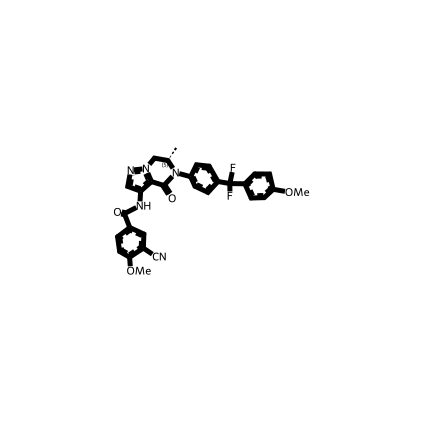 COc1ccc(C(F)(F)c2ccc(N3C(=O)c4c(NC(=O)c5ccc(OC)c(C#N)c5)cnn4C[C@@H]3C)cc2)cc1